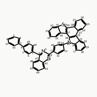 c1ccc(-c2ccc(-c3nc(-c4ccc(-n5c6ccccc6c6c7ccccc7c7sc8ccccc8c7c65)cc4)nc4ccccc34)cc2)cc1